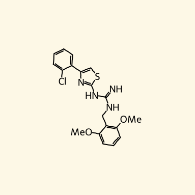 COc1cccc(OC)c1CNC(=N)Nc1nc(-c2ccccc2Cl)cs1